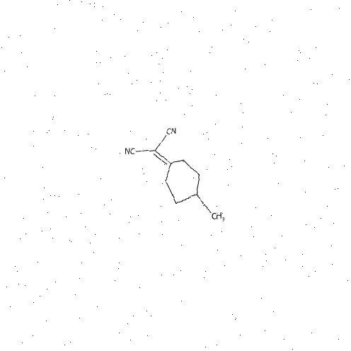 CC1CCC(=C(C#N)C#N)CC1